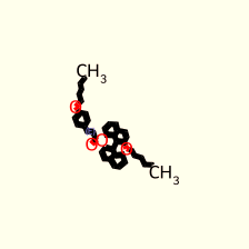 CCCCCCOc1ccc(/C=C/C(=O)Oc2ccc3ccccc3c2-c2c(OCCCCCC)ccc3ccccc23)cc1